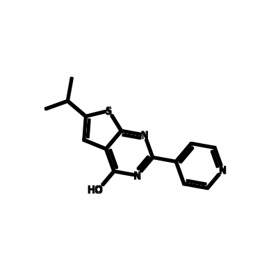 CC(C)c1cc2c(O)nc(-c3ccncc3)nc2s1